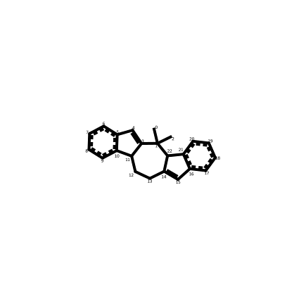 CC1(C)C2=Cc3ccccc3C2CCC2=Cc3ccccc3C21